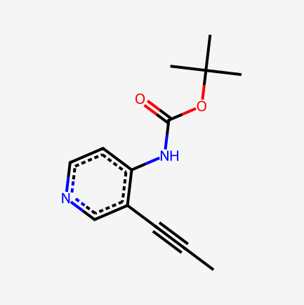 CC#Cc1cnccc1NC(=O)OC(C)(C)C